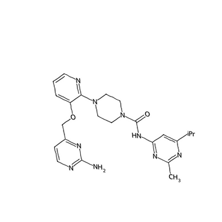 Cc1nc(NC(=O)N2CCN(c3ncccc3OCc3ccnc(N)n3)CC2)cc(C(C)C)n1